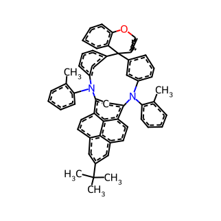 Cc1ccccc1N1c2cccc(c2)C2(c3cccc(c3)N(c3ccccc3C)c3cc1c1ccc4cc(C(C)(C)C)cc5ccc3c1c45)c1ccccc1Oc1ccccc12